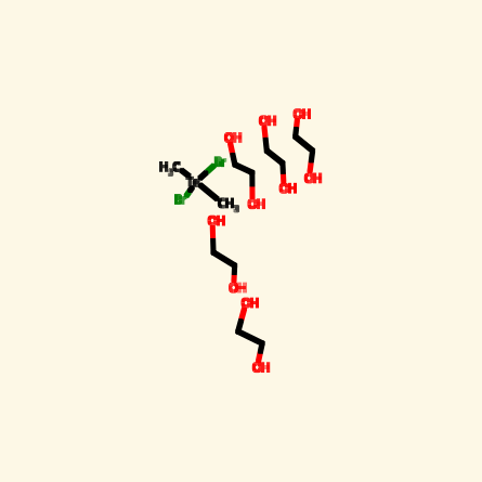 C[Te](C)(Br)Br.OCCO.OCCO.OCCO.OCCO.OCCO